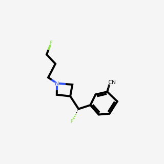 N#Cc1cccc([C@H](F)C2CN(CCCF)C2)c1